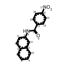 O=C(Nc1ccc2ccccc2c1)c1ccc([N+](=O)[O-])cc1